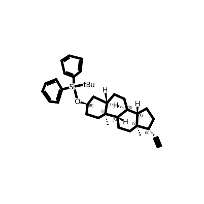 C#C[C@H]1CC[C@H]2[C@@H]3CC[C@H]4C[C@H](O[Si](c5ccccc5)(c5ccccc5)C(C)(C)C)CC[C@]4(C)[C@H]3CC[C@]12C